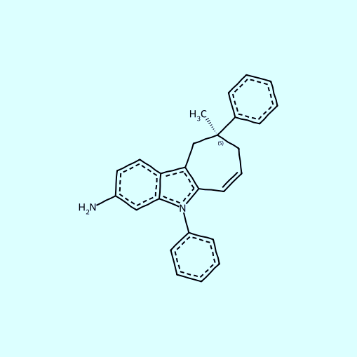 C[C@]1(c2ccccc2)CC=Cc2c(c3ccc(N)cc3n2-c2ccccc2)C1